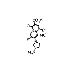 CCc1cc(C(=O)O)c(=O)n2cc(F)c(N3CCC(N)C3)cc12.Cl